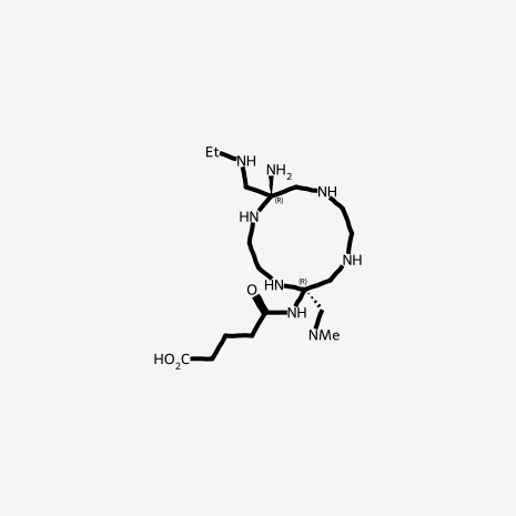 CCNC[C@]1(N)CNCCNC[C@@](CNC)(NC(=O)CCCC(=O)O)NCCN1